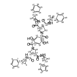 O=C(N[C@H]1C[C@@H]1c1ccccc1)[C@@H]1CN(C(=O)c2cc(O)c(C(=O)N3C[C@@H](C(=O)N[C@H]4C[C@@H]4c4ccccc4)[C@H](C(=O)N[C@H]4C[C@@H]4c4ccccc4)C3)cc2O)C[C@H]1C(=O)N[C@H]1C[C@@H]1c1ccccc1